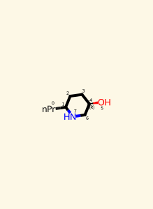 CCCC1CC[C@@H](O)CN1